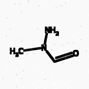 CN(N)C=O